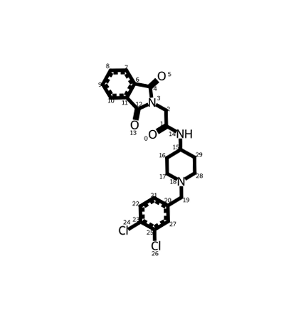 O=C(CN1C(=O)c2ccccc2C1=O)NC1CCN(Cc2ccc(Cl)c(Cl)c2)CC1